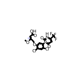 CO/C(=C/C(=O)O)COc1cc(-n2c(=O)cc(C(F)(F)F)[nH]c2=O)c(Cl)cc1Cl